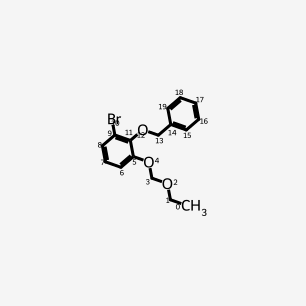 CCOCOc1cccc(Br)c1OCc1ccccc1